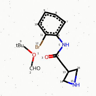 CC(C)(C)OC=O.O=C(Nc1ccccc1Br)C1CNC1